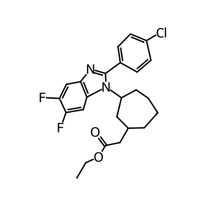 CCOC(=O)CC1CCCCC(n2c(-c3ccc(Cl)cc3)nc3cc(F)c(F)cc32)C1